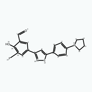 O=Cc1cc(-c2cc(-c3ccc(N4CCCC4)cc3)sn2)cc(F)c1O